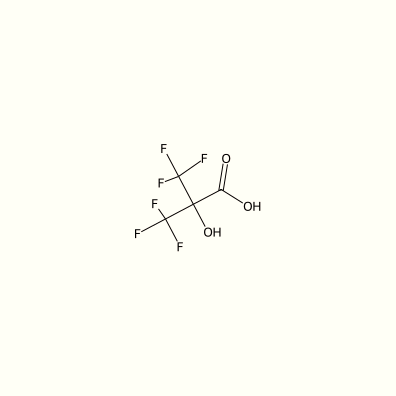 O=C(O)C(O)(C(F)(F)F)C(F)(F)F